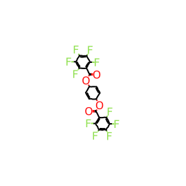 O=C(OC1C=CC(OC(=O)c2c(F)c(F)c(F)c(F)c2F)C=C1)c1c(F)c(F)c(F)c(F)c1F